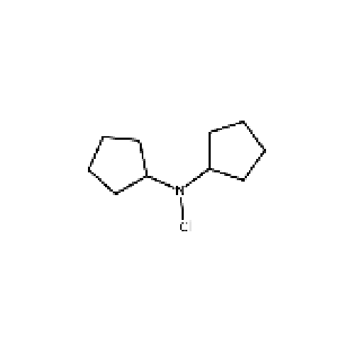 ClN(C1CCCC1)C1CCCC1